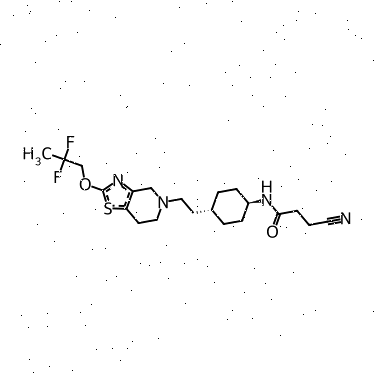 CC(F)(F)COc1nc2c(s1)CCN(CC[C@H]1CC[C@H](NC(=O)CCC#N)CC1)C2